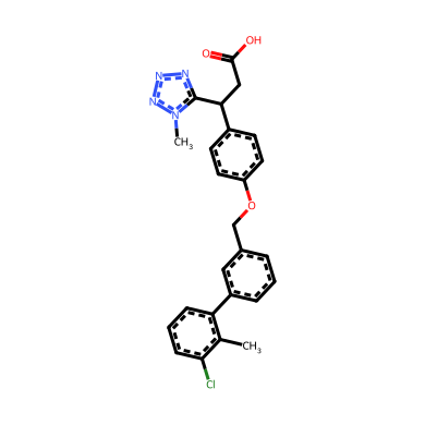 Cc1c(Cl)cccc1-c1cccc(COc2ccc(C(CC(=O)O)c3nnnn3C)cc2)c1